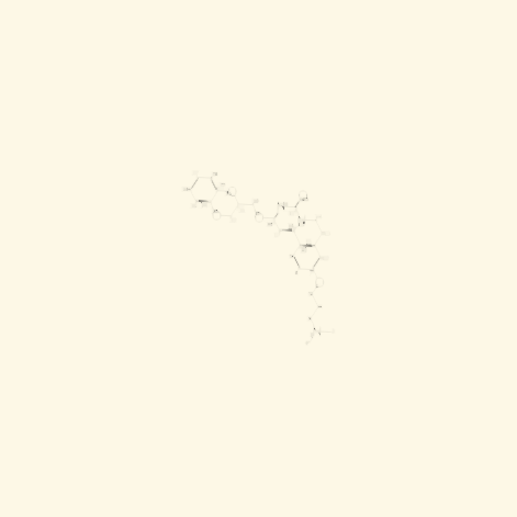 CN(C)CCCOc1ccc2c(c1)CCn1c-2cc(OCC2COc3ccccc3O2)nc1=O